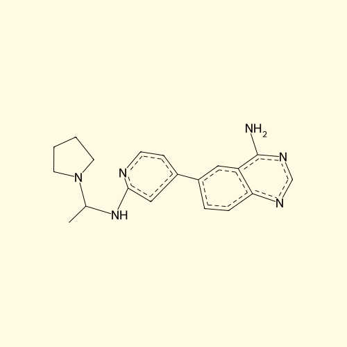 CC(Nc1cc(-c2ccc3ncnc(N)c3c2)ccn1)N1CCCC1